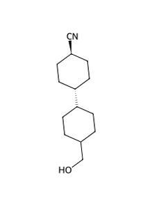 N#C[C@H]1CC[C@H](C2CCC(CO)CC2)CC1